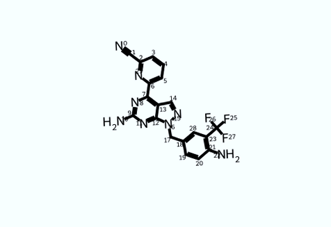 N#Cc1cccc(-c2nc(N)nc3c2cnn3Cc2ccc(N)c(C(F)(F)F)c2)n1